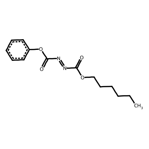 CCCCCCOC(=O)N=NC(=O)Oc1ccccc1